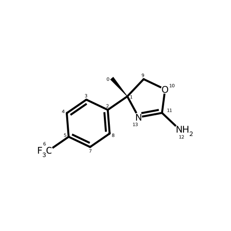 C[C@@]1(c2ccc(C(F)(F)F)cc2)COC(N)=N1